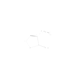 CCOC1CCCC1O